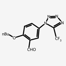 CCCCOc1ccc(-n2nnnc2C(F)(F)F)cc1C=O